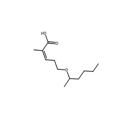 CCCCC(C)OCCC=C(C)C(=O)O